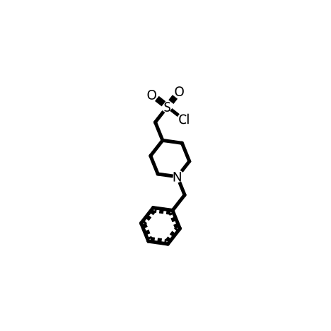 O=S(=O)(Cl)CC1CCN(Cc2ccccc2)CC1